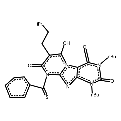 CCCCn1c(=O)c2c(nc3n(C(=S)c4ccccc4)c(=O)c(CCC(C)C)c(O)n23)n(CCCC)c1=O